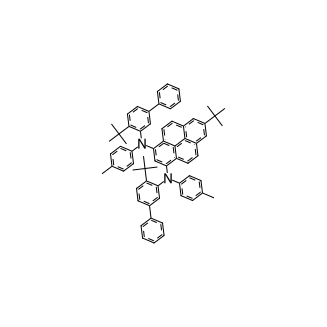 Cc1ccc(N(c2cc(-c3ccccc3)ccc2C(C)(C)C)c2cc(N(c3ccc(C)cc3)c3cc(-c4ccccc4)ccc3C(C)(C)C)c3ccc4cc(C(C)(C)C)cc5ccc2c3c54)cc1